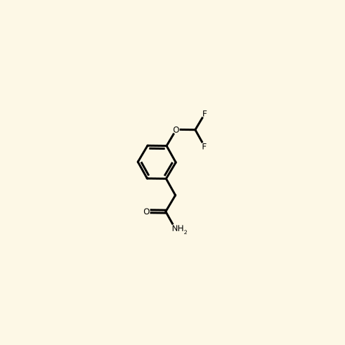 NC(=O)Cc1cccc(OC(F)F)c1